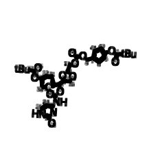 CC(C)(C)C(=O)Oc1ccc(COC(=O)OCC2OCC(C(OC(=O)Nc3cc[nH]c(=O)n3)c3ccc(OC(=O)C(C)(C)C)cc3)O2)cc1